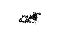 CON[C@@H](CC[C@@H]1CCN(CC#Cc2cccs2)C[C@@H]1C(=O)O)c1ccnc2ccc(OC)cc12